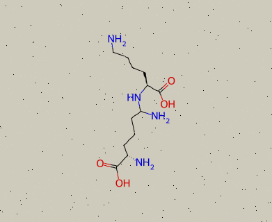 NCCCC[C@H](NC(N)CCC[C@H](N)C(=O)O)C(=O)O